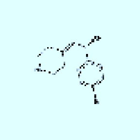 C[C@H](C=C1CCNCC1)c1ccc(Br)cc1